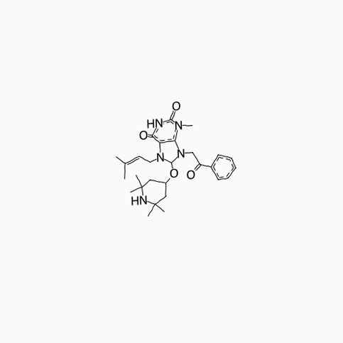 CC(C)=CCN1c2c(n(C)c(=O)[nH]c2=O)N(CC(=O)c2ccccc2)C1OC1CC(C)(C)NC(C)(C)C1